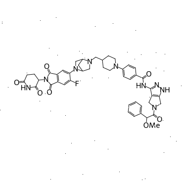 COC(C(=O)N1Cc2[nH]nc(NC(=O)c3ccc(N4CCC(CN5CC6CC5CN6c5cc6c(cc5F)C(=O)N(C5CCC(=O)NC5=O)C6=O)CC4)cc3)c2C1)c1ccccc1